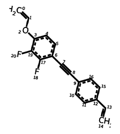 C=COc1ccc(C#Cc2ccc(C=C)cc2)c(F)c1F